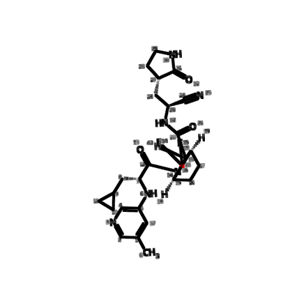 Cc1cncc(N[C@H](CC2CC2)C(=O)N2[C@@H]3CC[C@H]([C@H]2C(=O)N[C@H](C#N)C[C@@H]2CCNC2=O)C(F)(F)C3)c1